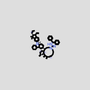 C=C/C=C\C1=C(/C)C(=C)C(=C)/C=C\CCCN([C@H]2N=c3ccccc3=C(c3ccccc3)N2)CC[C@@H]1C1=CC2C3=C(C=CCC3)N(c3ccc4c(c3)C(C)(C)[C@@H](/C=C\C)C4C=C)[C@@H]2C=C1